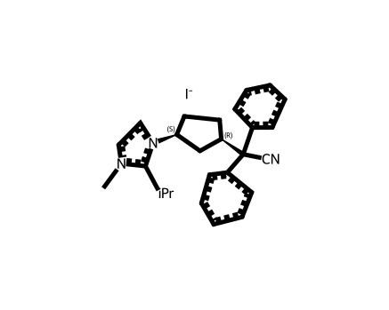 CC(C)c1n([C@H]2CC[C@@H](C(C#N)(c3ccccc3)c3ccccc3)C2)cc[n+]1C.[I-]